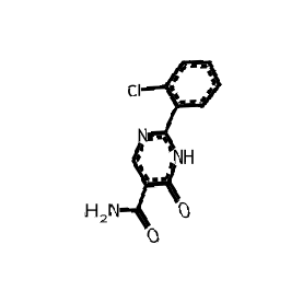 NC(=O)c1cnc(-c2ccccc2Cl)[nH]c1=O